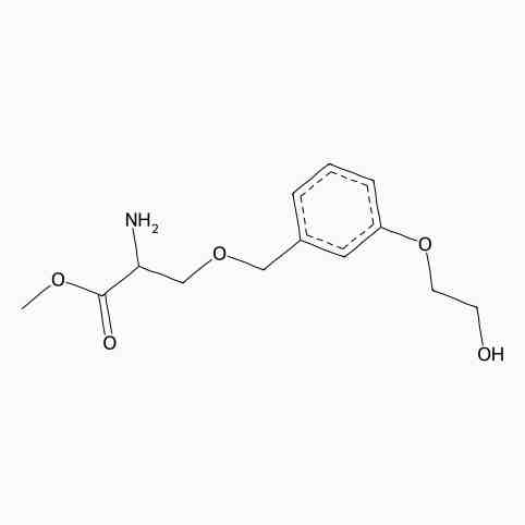 COC(=O)C(N)COCc1cccc(OCCO)c1